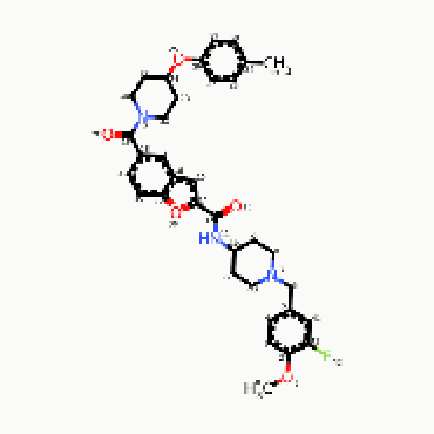 COc1ccc(CN2CCC(NC(=O)c3cc4cc(C(=O)N5CCC(Oc6ccc(C)cc6)CC5)ccc4o3)CC2)cc1F